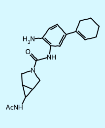 CC(=O)NC1C2CN(C(=O)Nc3cc(C4=CCCCC4)ccc3N)CC21